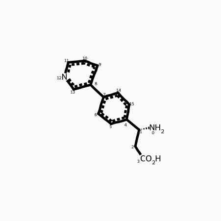 N[C@H](CC(=O)O)c1ccc(-c2cccnc2)cc1